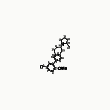 COc1ccc(Cl)cc1-c1ccc2c(c1)CCC(N1CCCC1C)C2